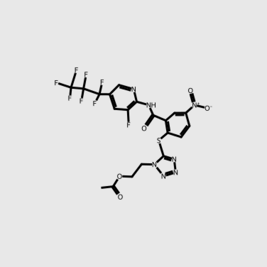 CC(=O)OCCn1nnnc1Sc1ccc([N+](=O)[O-])cc1C(=O)Nc1ncc(C(F)(F)C(F)(F)C(F)(F)F)cc1F